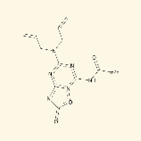 C=CCN(CC=C)c1nc(NC(=O)CCC)n2oc(=O)nc2n1